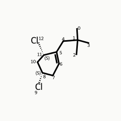 CC(C)(C)CC1=CC[C@H](Cl)C[C@@H]1Cl